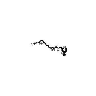 CC(=O)Nc1ccc(CCC(F)Cn2cc(C(=O)NCc3cc(C(C)(F)F)ccn3)nn2)nn1